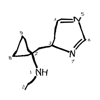 CNC1(C2C=NC=N2)CC1